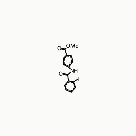 COC(=O)c1ccc(NC(=O)c2ccccc2I)cc1